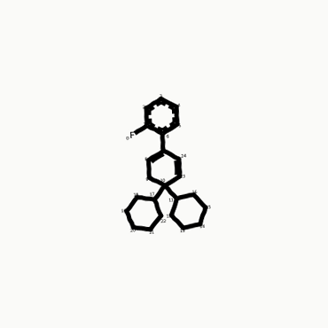 Fc1ccccc1C1=CCC(C2CCCCC2)(C2CCCCC2)C=C1